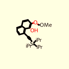 COCOc1ccc2cccc(C#C[Si](C(C)C)(C(C)C)C(C)C)c2c1O